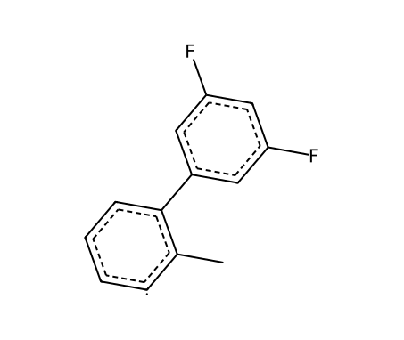 Cc1[c]cccc1-c1cc(F)cc(F)c1